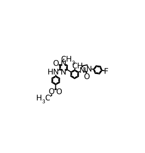 CCOC(=O)c1ccc(Nc2nc(-c3cccc(N4CCN(c5ccc(F)cc5)C4=O)c3C)cn(C)c2=O)cc1